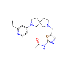 CCc1cc(N2CCC3(CCN(Cc4cnc(NC(C)=O)s4)C3)C2)cc(C)n1